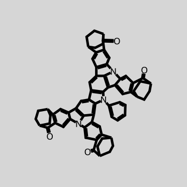 O=C1c2cc3c(cc2C2CCC1CC2)c1cc2c4cc5c6cc7c(cc6n6c8cc9c(cc8c(c4n(-c4ccccc4)c2c2c4cc8c(cc4n3c12)C(=O)C1CCC8CC1)c56)C1CCC(CC1)C9=O)C(=O)C1CCC7CC1